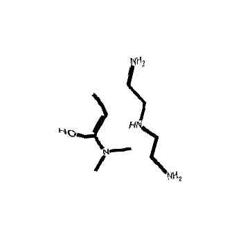 CC=C(O)N(C)C.NCCNCCN